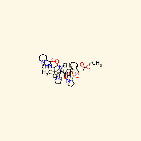 CCOC(=O)C[C@H](OC(=O)[C@@H]1CCCN1C(=O)[C@@H]1CCCN1C[C@H](C(C)C)N(C)C(=O)[C@@H](NC(=O)C1CCCCN1C)C(C)(C)C)c1ccccc1